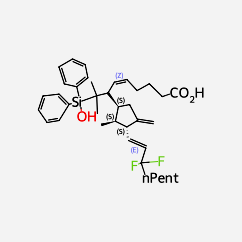 C=C1C[C@H](C(/C=C\CCCC(=O)O)C(C)(C)[Si](O)(c2ccccc2)c2ccccc2)[C@H](C)[C@H]1/C=C/C(F)(F)CCCCC